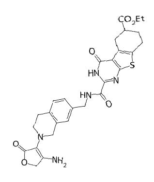 CCOC(=O)C1CCc2sc3nc(C(=O)NCc4ccc5c(c4)CN(C4=C(N)COC4=O)CC5)[nH]c(=O)c3c2C1